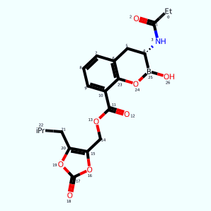 CCC(=O)N[C@H]1Cc2cccc(C(=O)OCc3oc(=O)oc3CC(C)C)c2OB1O